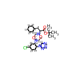 CC(C)(C)OC(=O)C(Cc1ccccc1)N1CON(c2cc(Cl)ccc2-n2cnnn2)CO1